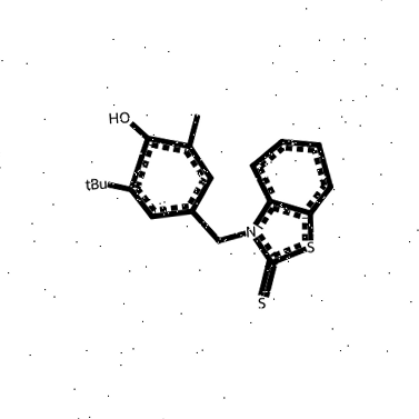 Cc1cc(Cn2c(=S)sc3ccccc32)cc(C(C)(C)C)c1O